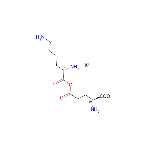 NCCCC[C@H](N)C(=O)OC(=O)CC[C@H](N)C(=O)[O-].[K+]